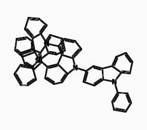 c1ccc(-n2c3ccccc3c3cc(-n4c5cccc(-n6c7ccccc7c7ccccc76)c5c5c([Si](c6ccccc6)(c6ccccc6)c6ccccc6)cccc54)ccc32)cc1